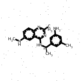 CNc1[c]cc2nc(C)nc(N[C@H](C)c3cc(C)cc(N)c3)c2c1